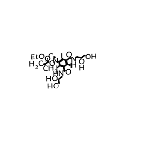 C=C(C)C(=O)ON(CC(=O)OCC)c1c(I)c(C(=O)NCC(O)CO)c(I)c(C(=O)NCC(O)CO)c1I